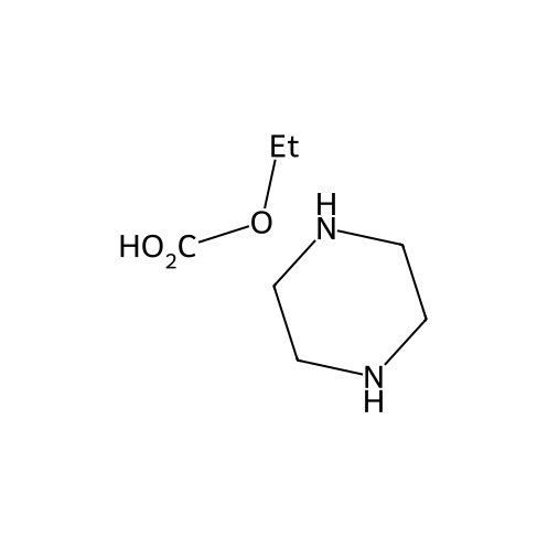 C1CNCCN1.CCOC(=O)O